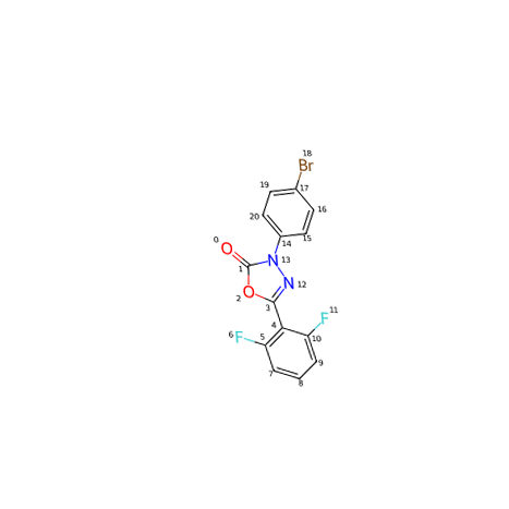 O=c1oc(-c2c(F)cccc2F)nn1-c1ccc(Br)cc1